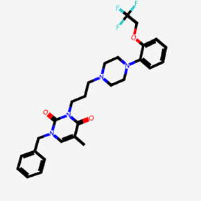 Cc1cn(Cc2ccccc2)c(=O)n(CCCN2CCN(c3ccccc3OCC(F)(F)F)CC2)c1=O